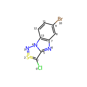 ClC1=S=Nn2c1nc1cc(Br)ccc12